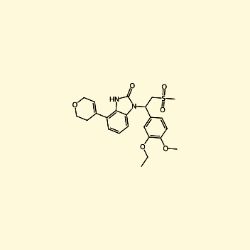 CCOc1cc(C(CS(C)(=O)=O)n2c(=O)[nH]c3c(C4=CCOCC4)cccc32)ccc1OC